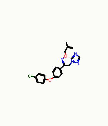 C=C(C)CON=C(Cn1cncn1)c1ccc(Oc2ccc(Cl)cc2)cc1